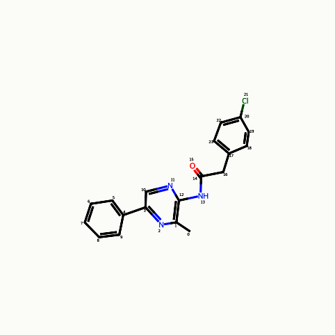 Cc1nc(-c2ccccc2)cnc1NC(=O)Cc1ccc(Cl)cc1